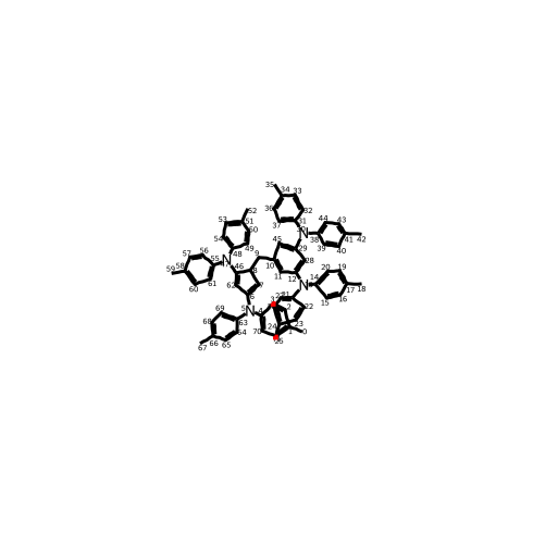 Cc1ccc(N(C2=CC(Cc3cc(N(c4ccc(C)cc4)c4ccc(C)cc4)cc(N(c4ccc(C)cc4)c4ccc(C)cc4)c3)C(N(c3ccc(C)cc3)c3ccc(C)cc3)=C2)c2ccc(C)cc2)cc1